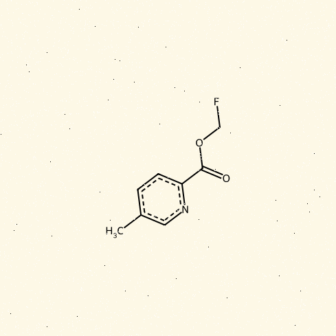 Cc1ccc(C(=O)OCF)nc1